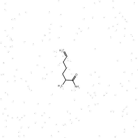 C=CCCCC(C)C(N)=O